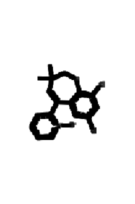 CC1(C)C=C(c2cccc[n+]2[O-])c2cc(Cl)cc(Cl)c2OC1